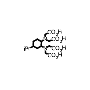 CC(C)C1CCC(N(CC(=O)O)CC(=O)O)C(N(CC(=O)O)CC(=O)O)C1